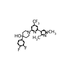 Cc1nn(C)cc1-c1cc(C(F)(F)F)cc(N2CCC(O)(c3ccc(F)c(F)c3)CC2)n1